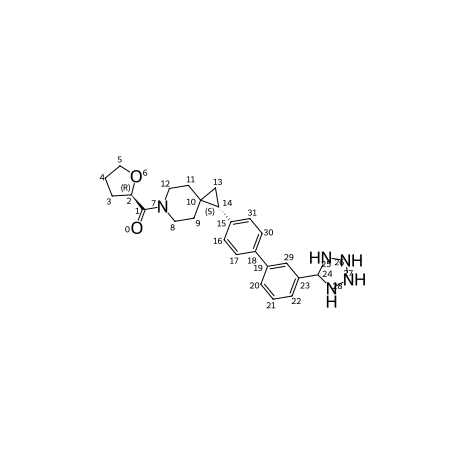 O=C([C@H]1CCCO1)N1CCC2(CC1)C[C@@H]2c1ccc(-c2cccc(C3NNNN3)c2)cc1